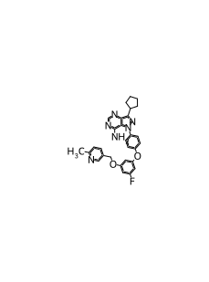 Cc1ccc(COc2cc(F)cc(Oc3ccc(-n4nc(C5CCCC5)c5ncnc(N)c54)cc3)c2)cn1